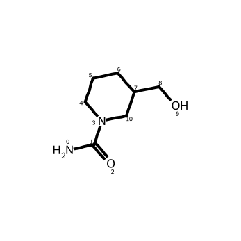 NC(=O)N1CCCC(CO)C1